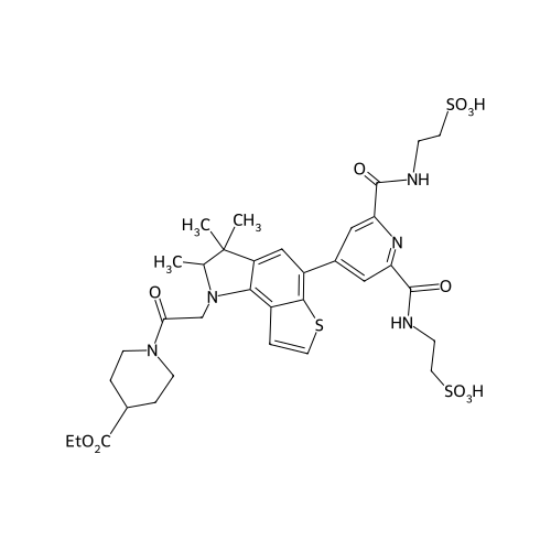 CCOC(=O)C1CCN(C(=O)CN2c3c(cc(-c4cc(C(=O)NCCS(=O)(=O)O)nc(C(=O)NCCS(=O)(=O)O)c4)c4sccc34)C(C)(C)C2C)CC1